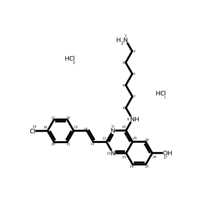 Cl.Cl.NCCCCCCNc1nc(C=Cc2ccc(Cl)cc2)nc2ccc(O)cc12